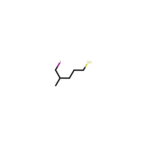 CC(CI)CCCS